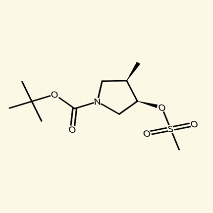 C[C@@H]1CN(C(=O)OC(C)(C)C)C[C@@H]1OS(C)(=O)=O